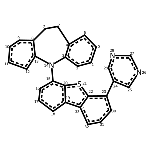 c1ccc2c(c1)CCc1ccccc1N2c1cccc2c1sc1c(-c3cncnc3)cccc12